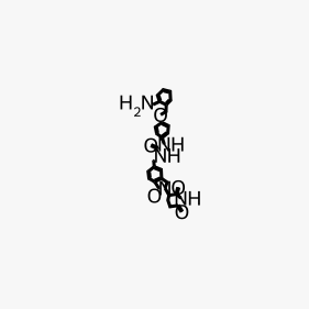 NCc1ccccc1COc1ccc(NC(=O)NCc2ccc3c(c2)CN(C2CCC(=O)NC2=O)C3=O)cc1